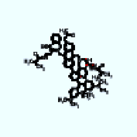 C=C(C)C(=O)NCCCN(Cc1ccccc1B(O)O)Cc1c2ccc(-c3ccc(C4=C5C=CC(=[N+](C)C)C=C5[Si](C)(C)c5cc(N(C)C)ccc54)cc3)cc2c(CN(CCCNC(=O)C(=C)C)Cc2ccccc2B(O)O)c2ccc(CC(C)=O)cc12